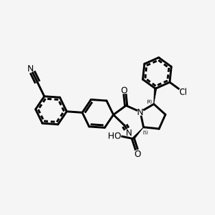 N#Cc1cccc(C2=CCC(C#N)(C(=O)N3[C@@H](c4ccccc4Cl)CC[C@H]3C(=O)O)C=C2)c1